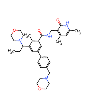 CCC(c1cc(-c2ccc(CN3CCOCC3)cc2)cc(C(=O)NCc2c(C)cc(C)[nH]c2=O)c1C)N1CCOCC1